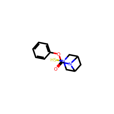 O=C(Oc1ccccc1)N1C2CC1CN(S)C2